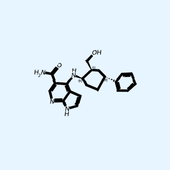 NC(=O)c1cnc2[nH]ccc2c1N[C@@H]1CC[C@@H](c2ccccc2)C[C@@H]1CO